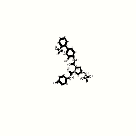 CS(=O)(=O)N[C@@H]1C[C@H](C(=O)Nc2ccc(-c3ccccc3S(C)(=O)=O)cc2F)N(C(=O)Nc2ccc(Cl)cc2)C1